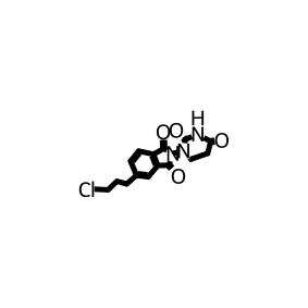 O=C1CCN(N2C(=O)c3ccc(CCCCl)cc3C2=O)C(=O)N1